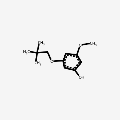 COc1cc(O)cc(OCC(C)(C)C)c1